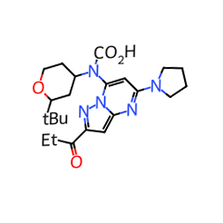 CCC(=O)c1cc2nc(N3CCCC3)cc(N(C(=O)O)C3CCOC(C(C)(C)C)C3)n2n1